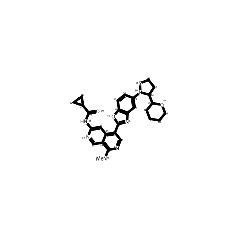 CNc1ncc(-c2nc3cc(N4SCCC4C4CCCCO4)ccc3o2)c2cc(NC(=O)C3CC3)ncc12